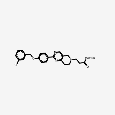 CC(C)(C)OC(=O)CCN1CCc2nc(-c3ccc(OCc4cccc(Cl)c4)cc3)ncc2C1